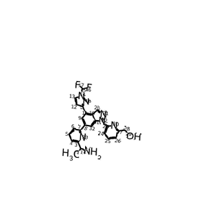 CC(N)c1cccc(-c2cc(-c3ccn(C(F)F)n3)c3cnn(-c4cccc(CO)n4)c3c2)n1